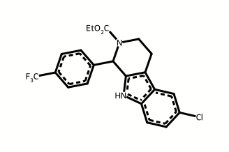 CCOC(=O)N1CCc2c([nH]c3ccc(Cl)cc23)C1c1ccc(C(F)(F)F)cc1